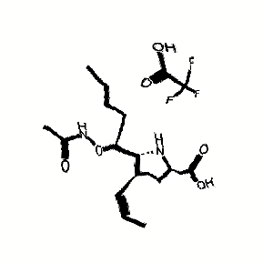 C/C=C\[C@@H]1C[C@H](C(=O)O)N[C@H]1[C@H](CCCC)ONC(C)=O.O=C(O)C(F)(F)F